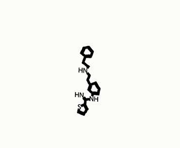 N=C(Nc1cccc(CCNCCc2ccccc2)c1)c1cccs1